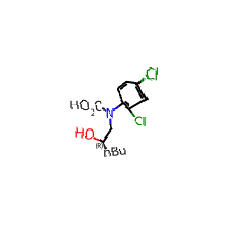 CCCC[C@@H](O)CN(C(=O)O)c1ccc(Cl)cc1Cl